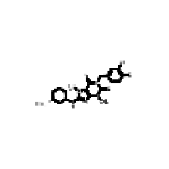 Cn1c(N[C@@H]2CCC[C@@H](C(=O)O)C2)nc2c1c(=O)n(Cc1ccc(Cl)c(Cl)c1)c(=O)n2C